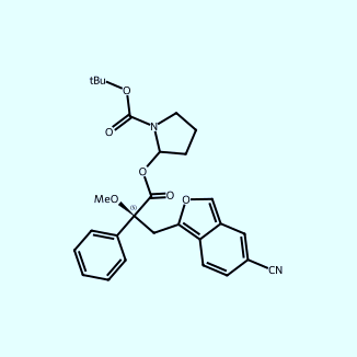 CO[C@](Cc1occ2cc(C#N)ccc12)(C(=O)OC1CCCN1C(=O)OC(C)(C)C)c1ccccc1